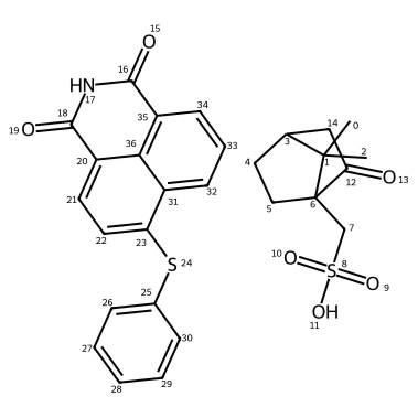 CC1(C)C2CCC1(CS(=O)(=O)O)C(=O)C2.O=C1NC(=O)c2ccc(Sc3ccccc3)c3cccc1c23